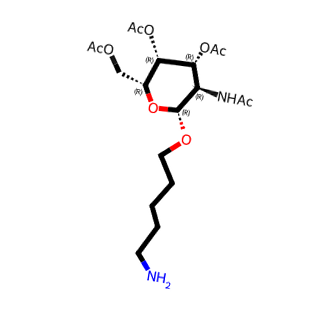 CC(=O)N[C@H]1[C@H](OCCCCCN)O[C@H](COC(C)=O)[C@H](OC(C)=O)[C@@H]1OC(C)=O